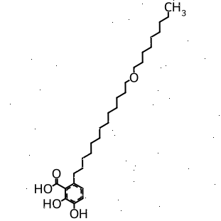 CCCCCCCCCOCCCCCCCCCCCCCc1ccc(O)c(O)c1C(=O)O